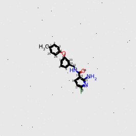 Cc1ccc(Oc2cccc(CNC(=O)c3ccc(F)nc3N)c2)cc1